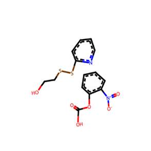 O=C(O)Oc1ccccc1[N+](=O)[O-].OCCSSc1ccccn1